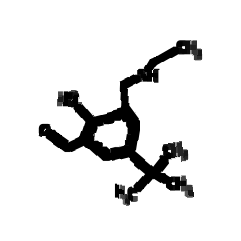 CCNCc1cc(C(C)(C)C)cc(C=O)c1O